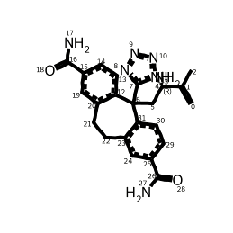 C=C(C)[C@H](N)CC1(c2nnn[nH]2)c2ccc(C(N)=O)cc2CCc2cc(C(N)=O)ccc21